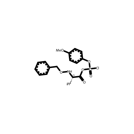 COc1ccc(OP(=O)(Cl)OC(=O)[C@@H](NOCc2ccccc2)C(C)C)cc1